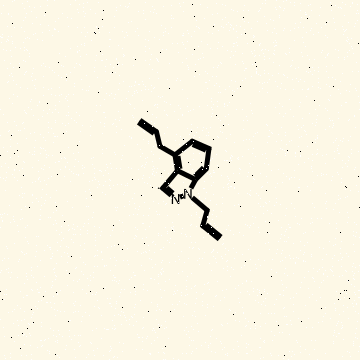 C=CCc1cccc2c1[c]nn2CC=C